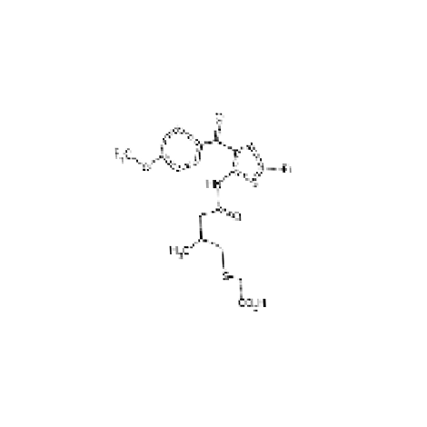 CCc1cc(C(=O)c2ccc(OC(F)(F)F)cc2)c(NC(=O)CC(C)CSCC(=O)O)s1